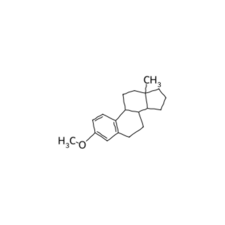 COc1ccc2c(c1)CCC1C2CCC2(C)CCCC12